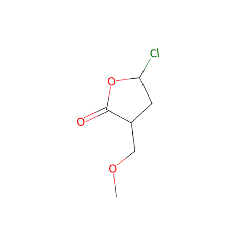 COCC1CC(Cl)OC1=O